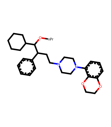 CCCOC(C1CCCCC1)C(CCN1CCN(c2cccc3c2OCCO3)CC1)c1ccccc1